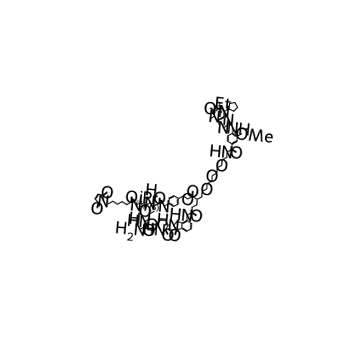 CC[C@@H]1C(=O)N(C)c2cnc(Nc3ccc(C(=O)NCCOCCOCCOCCC(CCC(=O)Nc4cccc5c4CN(C4CCC(=O)NC4=O)C5=O)C(=O)OCc4ccc(NC(=O)[C@H](CCCNC(N)=O)NC(=O)[C@@H](NC(=O)CCCCCN5C(=O)C=CC5=O)C(C)C)cc4)cc3OC)nc2N1C1CCCC1